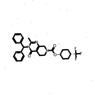 Cc1nc2c(c(=O)n1C(c1ccccc1)c1ccccc1)CCN(C(=O)O[C@H]1CC[C@@H](C(F)(F)F)CC1)C2